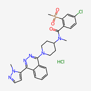 CN(C(=O)c1ccc(Cl)cc1S(C)(=O)=O)C1CCN(c2nnc(-c3ccnn3C)c3ccccc23)CC1.Cl